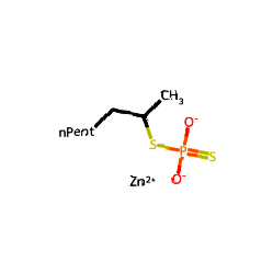 CCCCCCC(C)SP([O-])([O-])=S.[Zn+2]